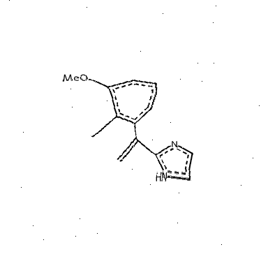 C=C(c1ncc[nH]1)c1cccc(OC)c1C